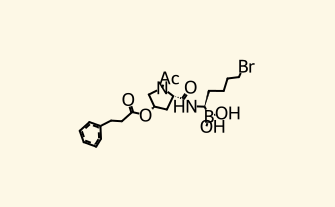 CC(=O)N1C[C@H](OC(=O)CCc2ccccc2)C[C@H]1C(=O)N[C@@H](CCCCBr)B(O)O